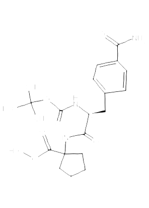 COC(=O)C1(NC(=O)[C@H](Cc2ccc(C(N)=O)cc2)NC(=O)OC(C)(C)C)CCCC1